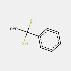 [CH2]CCC(S)(S)c1ccccc1